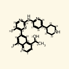 CC(O)c1ccnc2c(F)cc(-c3nc(Nc4ccc(C5CCNCC5)cn4)ncc3F)cc12